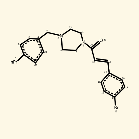 CCCc1ccc(CN2CCN(C(=O)/C=C/c3ccc(Br)cc3)CC2)cc1